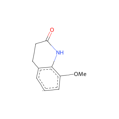 COc1c[c]cc2c1NC(=O)CC2